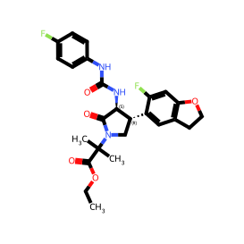 CCOC(=O)C(C)(C)N1C[C@@H](c2cc3c(cc2F)OCC3)[C@H](NC(=O)Nc2ccc(F)cc2)C1=O